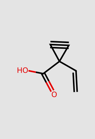 C=CC1(C(=O)O)C#C1